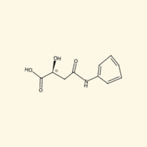 O=C(C[C@H](O)C(=O)O)Nc1ccccc1